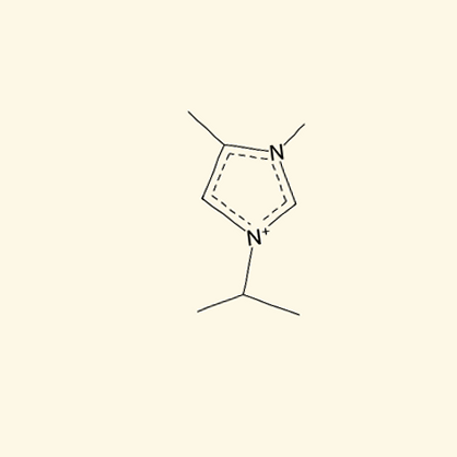 Cc1c[n+](C(C)C)cn1C